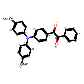 COc1ccc(N(c2ccc(OC)cc2)c2ccc(C(=O)C(=O)c3ccccc3)cc2)cc1